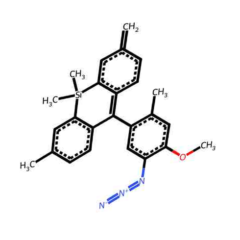 C=c1ccc2c(c1)[Si](C)(C)c1cc(C)ccc1C=2c1cc(N=[N+]=[N-])c(OC)cc1C